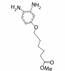 COC(=O)CCCCCOc1ccc(N)c(N)c1